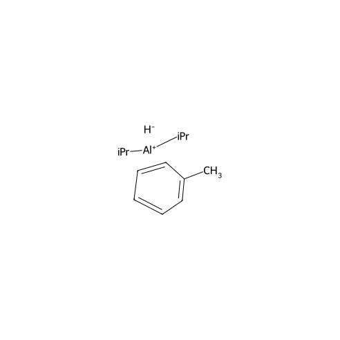 C[CH](C)[Al+][CH](C)C.Cc1ccccc1.[H-]